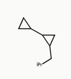 CC(C)CC1CC1C1CC1